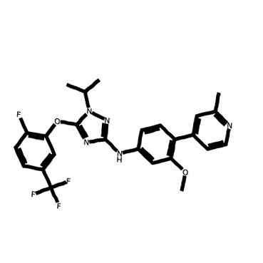 COc1cc(Nc2nc(Oc3cc(C(F)(F)F)ccc3F)n(C(C)C)n2)ccc1-c1ccnc(C)c1